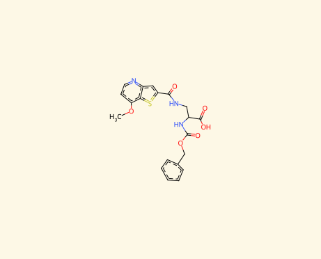 COc1ccnc2cc(C(=O)NCC(NC(=O)OCc3ccccc3)C(=O)O)sc12